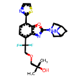 CC(C)(O)COCC(F)(F)c1ccc(-c2nccs2)c2oc(N3CC4CC(C3)N4)nc12